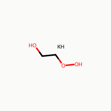 OCCOO.[KH]